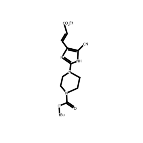 CCOC(=O)/C=C/c1nc(N2CCN(C(=O)OC(C)(C)C)CC2)[nH]c1C#N